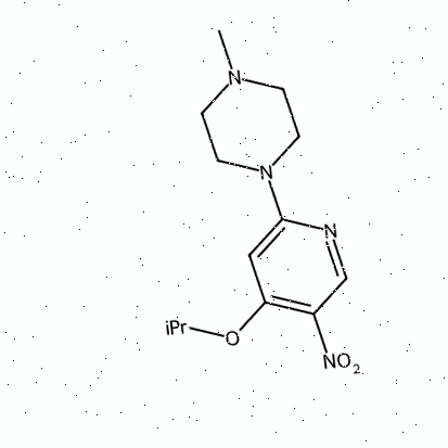 CC(C)Oc1cc(N2CCN(C)CC2)ncc1[N+](=O)[O-]